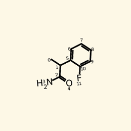 CC(C(N)=O)c1ccccc1F